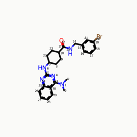 CN(C)c1nc(NC2CCC(C(=O)NCc3cccc(Br)c3)CC2)nc2ccccc12